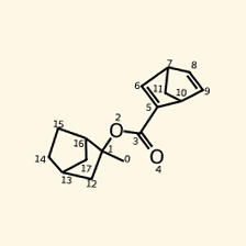 CC1(OC(=O)C2=CC3C=CC2C3)CC2CCC1C2